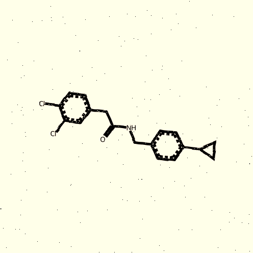 O=C(Cc1ccc(Cl)c(Cl)c1)NCc1ccc(C2CC2)cc1